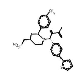 C=C(C)C(=C)[C@H](c1ccc(-c2cccs2)cc1)N1CC[C@@H](CC(=O)O)C[C@H]1c1ccc(C(F)(F)F)cc1